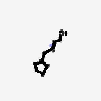 [CH]=C/C=C/CC1CCCC1